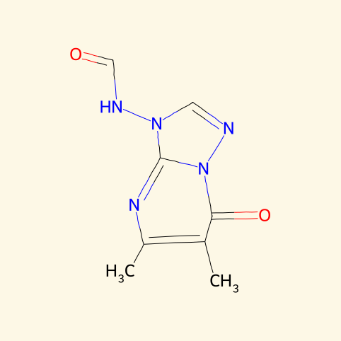 Cc1nc2n(NC=O)cnn2c(=O)c1C